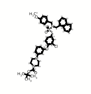 COc1ccc(CN(Cc2cccc3ccccc23)S(=O)(=O)Sc2ccc(Oc3cccc(N4CCN(C(=O)OC(C)(C)C)CC4)c3)c(Cl)c2)cc1